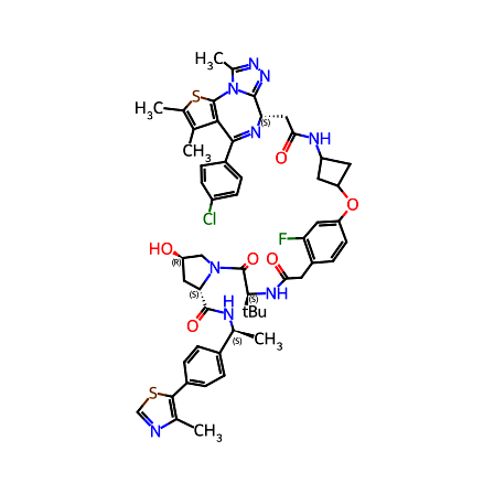 Cc1ncsc1-c1ccc([C@H](C)NC(=O)[C@@H]2C[C@@H](O)CN2C(=O)[C@@H](NC(=O)Cc2ccc(OC3CC(NC(=O)C[C@@H]4N=C(c5ccc(Cl)cc5)c5c(sc(C)c5C)-n5c(C)nnc54)C3)cc2F)C(C)(C)C)cc1